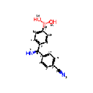 N#Cc1ccc(C(=N)c2ccc(B(O)O)cc2)cc1